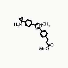 COC(=O)CCc1ccc(-c2nc(-c3ccc(C4(N)CC4)cc3)cn2C)cc1